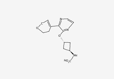 O=C(O)N[C@H]1C[C@H](Oc2nccnc2C2=CCOCC2)C1